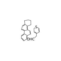 O=CCC1=CCSC=C1.c1ccc2c(c1)ccc1c3c(ccc12)CCCC3